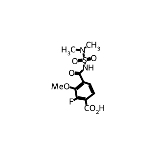 COc1c(C(=O)NS(=O)(=O)N(C)C)ccc(C(=O)O)c1F